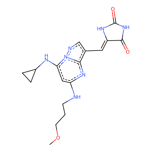 COCCCNc1cc(NC2CC2)n2ncc(/C=C3\NC(=O)NC3=O)c2n1